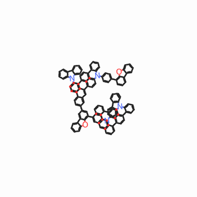 c1ccc2c3ccccc3n(-c3ccccc3-c3ccc(-c4ccccc4N(c4ccc(-c5cc(-c6ccc7c(c6)cc(-c6ccc(N(c8ccc(-c9cccc%10c9oc9ccccc9%10)cc8)c8ccccc8-c8ccc(-c9ccccc9-n9c%10ccccc%10c%10ccccc%109)cc8)cc6)c6ccccc67)cc6c5oc5ccccc56)cc4)c4ccccc4-c4ccccc4-c4ccccc4)cc3)c2c#1